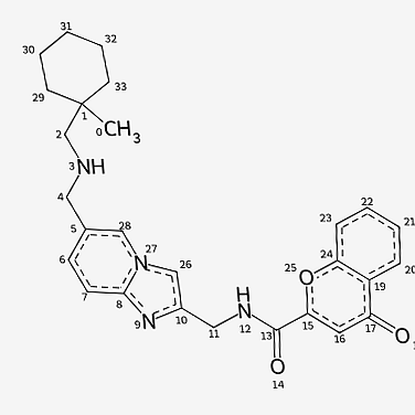 CC1(CNCc2ccc3nc(CNC(=O)c4cc(=O)c5ccccc5o4)cn3c2)CCCCC1